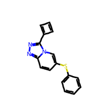 C1=CC(c2nnc3ccc(Sc4ccccc4)cn23)=C1